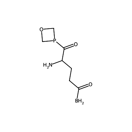 BC(=O)CCC(N)C(=O)P1COC1